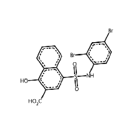 O=C(O)c1cc(S(=O)(=O)Nc2ccc(Br)cc2Br)c2ccccc2c1O